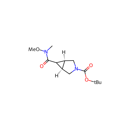 CON(C)C(=O)C1[C@H]2CN(C(=O)OC(C)(C)C)C[C@@H]12